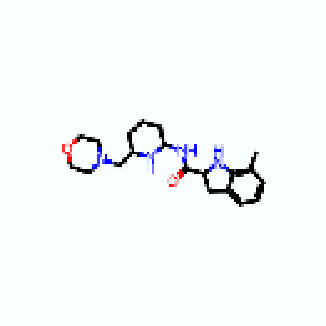 Cc1cccc2c1NC(C(=O)NC1CCCC(CN3CCOCC3)N1)C2